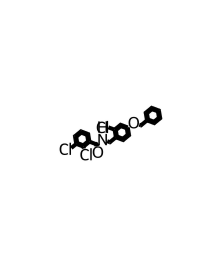 O=C(NCc1ccc(OCc2ccccc2)cc1Cl)c1cccc(Cl)c1Cl